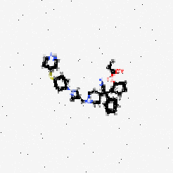 CCC(=O)O[C@H]1CCCC1C(C#N)(c1ccccc1)C1CCN(CC2CN(c3ccc(Sc4ccncc4)cc3)C2)CC1